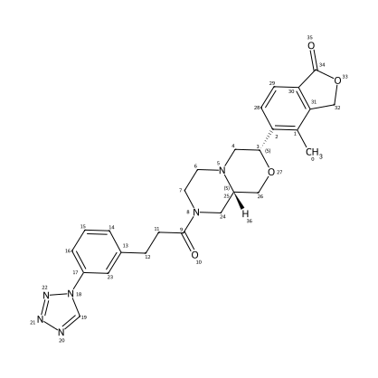 Cc1c([C@H]2CN3CCN(C(=O)CCc4cccc(-n5cnnn5)c4)C[C@H]3CO2)ccc2c1COC2=O